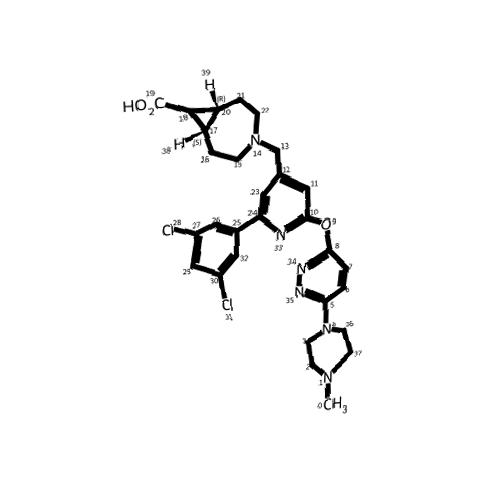 CN1CCN(c2ccc(Oc3cc(CN4CC[C@@H]5C(C(=O)O)[C@@H]5CC4)cc(-c4cc(Cl)cc(Cl)c4)n3)nn2)CC1